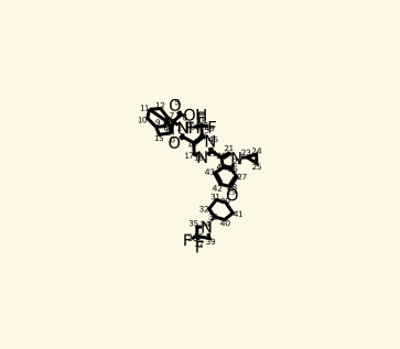 O=C(NC1(C(=O)O)C2CC3CC(C2)CC1C3)c1cnc(-c2cn(C3CC3)c3cc(O[C@H]4CC[C@H](N5CC(F)(F)C5)CC4)ccc23)nc1C(F)(F)F